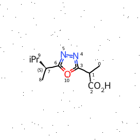 CC(C(=O)O)c1nnc([C@@H](C)C(C)C)o1